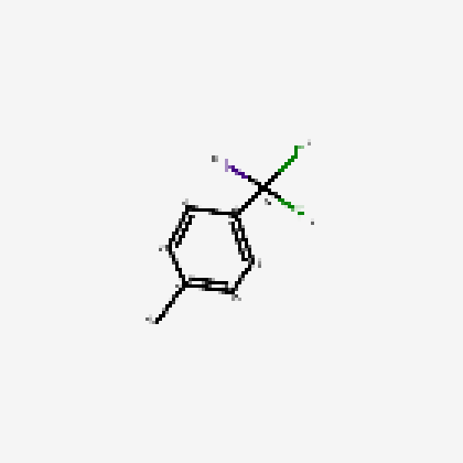 Cc1ccc(C(F)(F)I)cc1